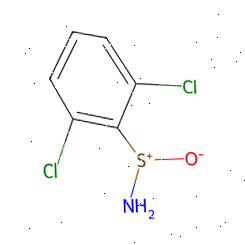 N[S+]([O-])c1c(Cl)cccc1Cl